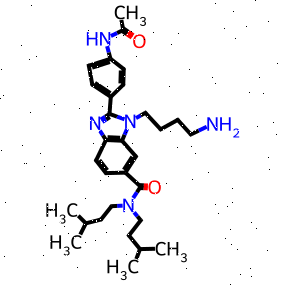 CC(=O)Nc1ccc(-c2nc3ccc(C(=O)N(CCC(C)C)CCC(C)C)cc3n2CCCCN)cc1